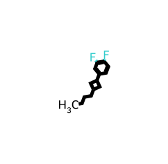 CCCCC1CC(c2ccc(F)c(F)c2)C1